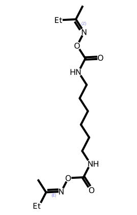 CC/C(C)=N\OC(=O)NCCCCCCNC(=O)O/N=C(\C)CC